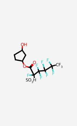 O=C(OC1CCC(O)C1)C(F)(C(F)(F)C(F)(F)C(F)(F)C(F)(F)F)S(=O)(=O)O